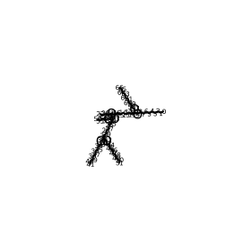 CCCCCCCCCOC(CCCCC=CC(OCCCC)OC(C=CCCCCC(OCCCCCCCCC)OCCCCCCCCC)OCCCC)OCCCCCCCCC